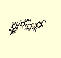 O=C(c1ccc(Cl)cc1)N1CCN(C2CN(c3nccc(C(F)(F)F)n3)CC2O)CC1